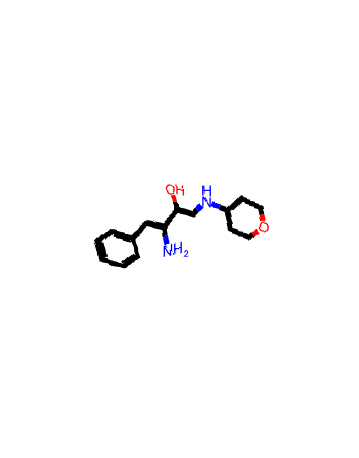 NC(Cc1ccccc1)C(O)CNC1CCOCC1